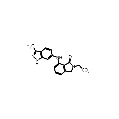 Cc1n[nH]c2cc(Nc3cccc4c3C(=O)N(CC(=O)O)C4)ccc12